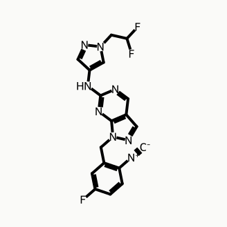 [C-]#[N+]c1ccc(F)cc1Cn1ncc2cnc(Nc3cnn(CC(F)F)c3)nc21